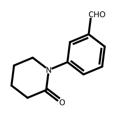 O=Cc1cccc(N2CCCCC2=O)c1